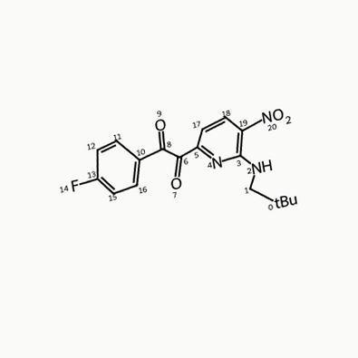 CC(C)(C)CNc1nc(C(=O)C(=O)c2ccc(F)cc2)ccc1[N+](=O)[O-]